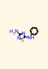 Nc1nsc(Nc2ccccc2)n1